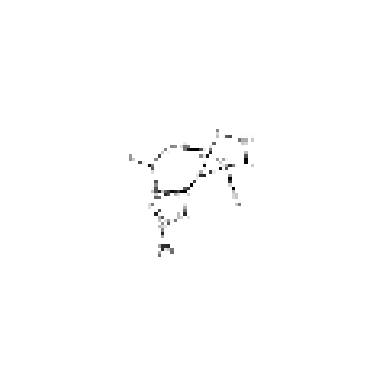 CC(C)n1nc(N)cc1[C@H]1[C@@H]2COC[C@@H]21